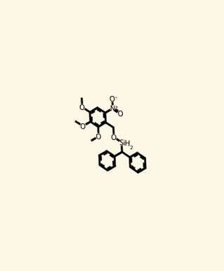 COc1cc([N+](=O)[O-])c(CO[SiH2]C(c2ccccc2)c2ccccc2)c(OC)c1OC